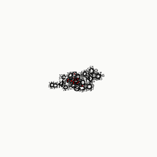 c1ccc(-c2cc(-c3ccc4ccccc4c3)nc(-c3cccc(-c4ccc5c(c4)Oc4ccc(-c6cccc(-c7cc(-c8ccccc8-c8ccccc8)nc(-c8cccc(-c9ccc%10c(c9)Oc9ccccc9C%109c%10ccccc%10-c%10ccccc%109)c8)n7)c6)cc4C54c5ccccc5-c5ccccc54)c3)n2)cc1